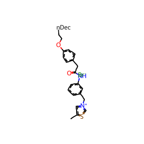 CCCCCCCCCCCCOc1ccc(CC(=O)Nc2cccc(C[n+]3csc(C)c3)c2)cc1.[Br-]